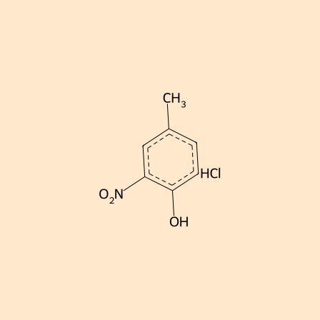 Cc1ccc(O)c([N+](=O)[O-])c1.Cl